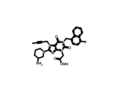 CC#CCn1c(N2CCCC(N)C2)nc2c1c(=O)n(Cc1ccc(F)c3ccccc13)c(=O)n2CC(=O)OC